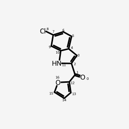 O=C(c1[c]c2ccc(Cl)cc2[nH]1)c1ccco1